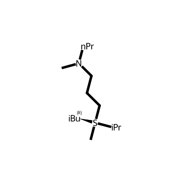 CCCN(C)CCCS(C)(C(C)C)[C@H](C)CC